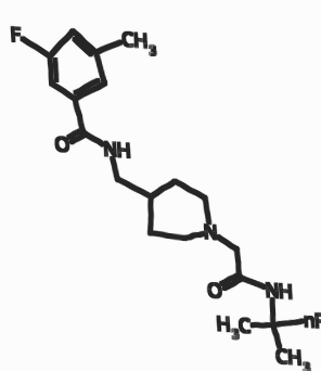 CCCC(C)(C)NC(=O)CN1CCC(CNC(=O)c2cc(C)cc(F)c2)CC1